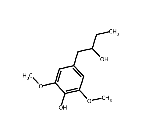 CCC(O)Cc1cc(OC)c(O)c(OC)c1